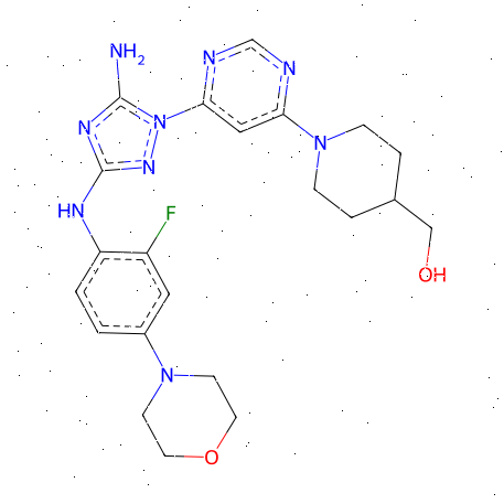 Nc1nc(Nc2ccc(N3CCOCC3)cc2F)nn1-c1cc(N2CCC(CO)CC2)ncn1